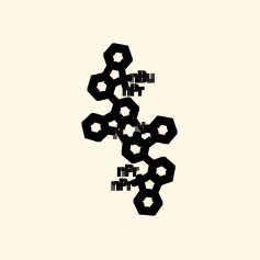 CCCCC1(CCC)c2ccccc2-c2cccc(-c3ccc4c5c3c3ccccc3n5c3ccc(-c5cccc6c5C(CCC)(CCC)c5ccccc5-6)c5c6ccccc6n4c53)c21